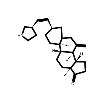 C=C1CC2C[C@H](/C=C\[C@H]3CCNC3)CC[C@]2(C)[C@H]2CC[C@]3(C)C(=O)CC[C@H]3[C@H]12